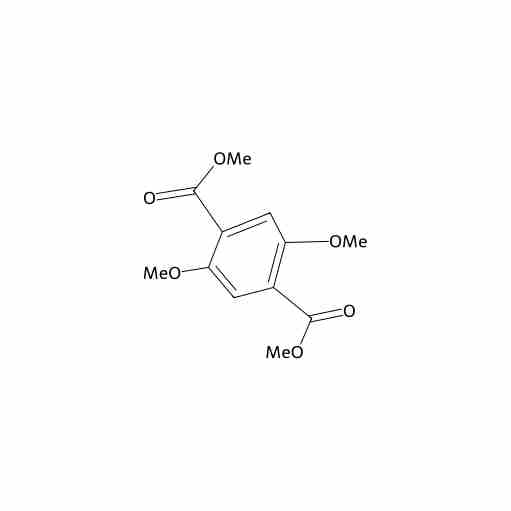 COC(=O)c1cc(OC)c(C(=O)OC)cc1OC